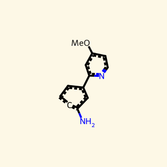 COc1ccnc(-c2cccc(N)c2)c1